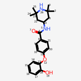 CC1(C)CC(NC(=O)c2ccc(Oc3ccccc3O)cc2)CC(C)(C)N1